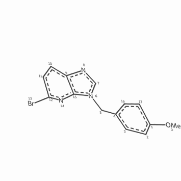 COc1ccc(Cn2cnc3ccc(Br)nc32)cc1